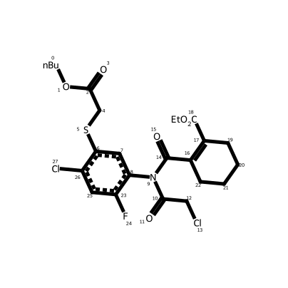 CCCCOC(=O)CSc1cc(N(C(=O)CCl)C(=O)C2=C(C(=O)OCC)CCCC2)c(F)cc1Cl